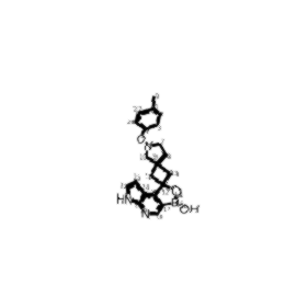 Cc1ccc(ON2CCC3(C2)CC2(C3)OB(O)c3cnc4[nH]ccc4c32)cc1